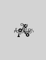 CC(=O)Nc1ccccc1CCC(=O)O[C@@H](Cc1c(Cl)cncc1Cl)c1ccc(OC(F)F)c(OCC2CC2)c1